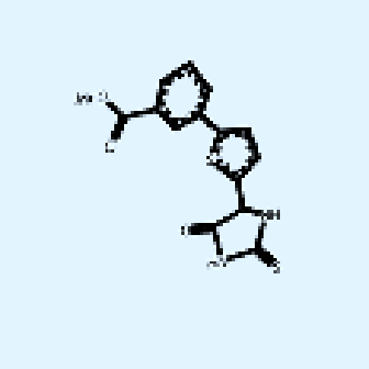 COC(=O)c1cccc(-c2ccc(C3NC(=S)NC3=O)s2)c1